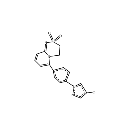 O=S1(=O)CCN2C(c3ccc(-n4cc(Cl)cn4)cc3)=CC=CC2=N1